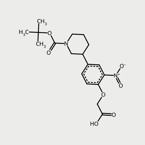 CC(C)(C)OC(=O)N1CCCC(c2ccc(OCC(=O)O)c([N+](=O)[O-])c2)C1